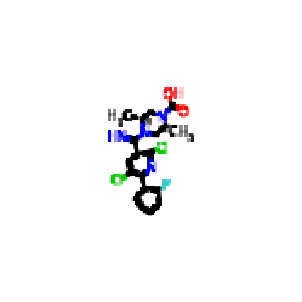 C[C@@H]1CN(C(=N)c2cc(Cl)c(-c3ccccc3F)nc2Cl)[C@@H](C)CN1C(=O)O